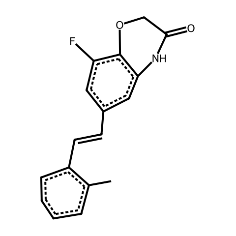 Cc1ccccc1/C=C/c1cc(F)c2c(c1)NC(=O)CO2